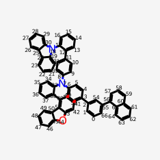 c1cc(-c2ccc(N(c3ccc(-c4ccccc4-n4c5ccccc5c5ccccc54)cc3)c3ccccc3-c3cccc4oc5ccccc5c34)cc2)cc(-c2cccc3ccccc23)c1